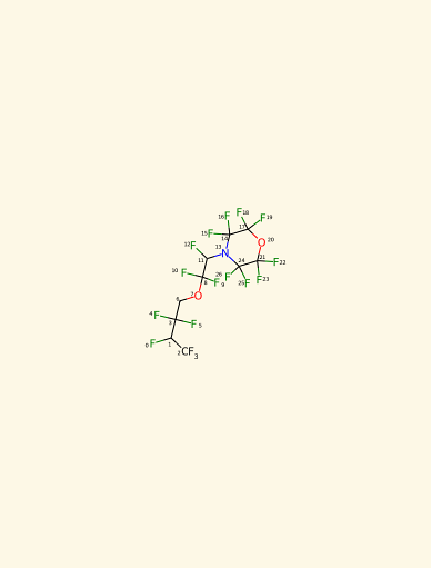 FC(C(F)(F)F)C(F)(F)COC(F)(F)C(F)N1C(F)(F)C(F)(F)OC(F)(F)C1(F)F